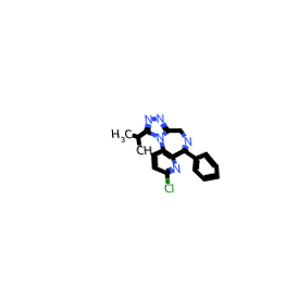 CC(C)c1nnc2n1-c1ccc(Cl)nc1C(c1ccccc1)=NC2